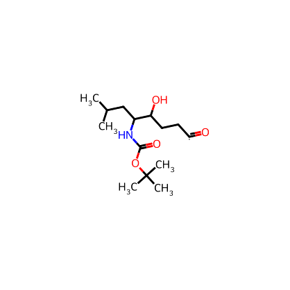 CC(C)CC(NC(=O)OC(C)(C)C)C(O)CC[C]=O